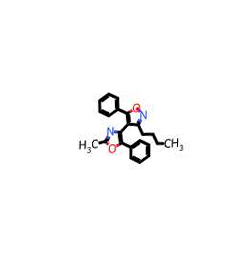 CCCCc1noc(-c2ccccc2)c1-c1nc(C)oc1-c1ccccc1